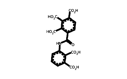 O=C(O)c1cccc(NC(=O)c2ccc(C(=O)O)c(C(=O)O)c2C(=O)O)c1C(=O)O